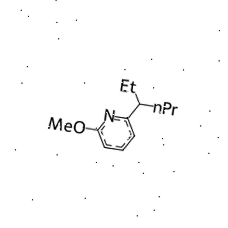 CCCC(CC)c1cccc(OC)n1